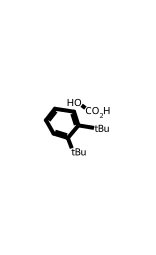 CC(C)(C)c1ccccc1C(C)(C)C.O=C(O)O